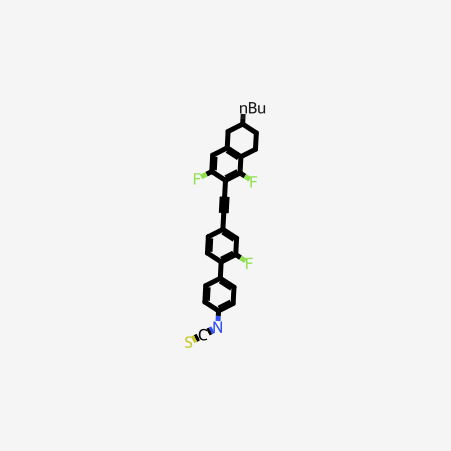 CCCCC1CCc2c(cc(F)c(C#Cc3ccc(-c4ccc(N=C=S)cc4)c(F)c3)c2F)C1